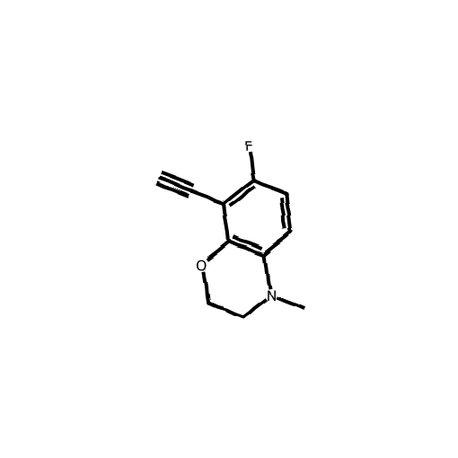 C#Cc1c(F)ccc2c1OCCN2C